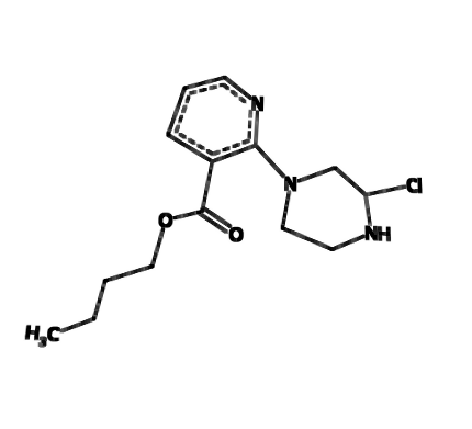 CCCCOC(=O)c1cccnc1N1CCNC(Cl)C1